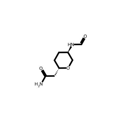 NC(=O)C[C@@H]1CC[C@@H](NC=O)CO1